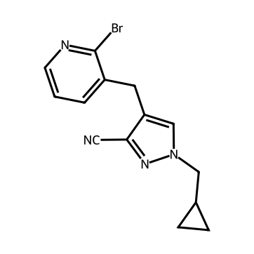 N#Cc1nn(CC2CC2)cc1Cc1cccnc1Br